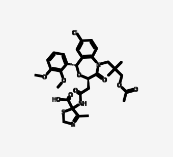 COc1cccc([C@H]2O[C@H](CC(=O)NC3(C(=O)O)SCN=C3C)C(=O)N(CC(C)(C)COC(C)=O)c3ccc(Cl)cc32)c1OC